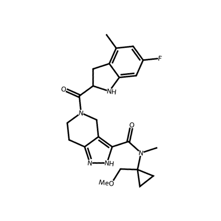 COCC1(N(C)C(=O)c2[nH]nc3c2CN(C(=O)C2Cc4c(C)cc(F)cc4N2)CC3)CC1